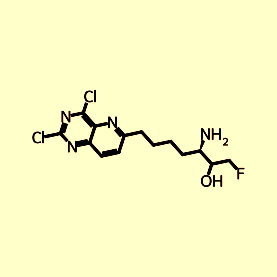 N[C@H](CCCCc1ccc2nc(Cl)nc(Cl)c2n1)C(O)CF